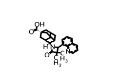 CC1(C)C(=O)N([C@H]2C3CC4CC2C[C@](C(=O)O)(C4)C3)C1c1cccc2cccnc12